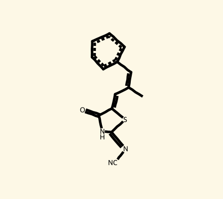 CC(=Cc1ccccc1)C=C1SC(=NC#N)NC1=O